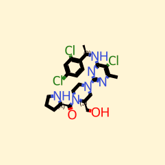 Cc1nc(N2CCN(C(=O)[C@H]3CCCN3)[C@H](CO)C2)nc(N[C@H](C)c2ccc(Cl)cc2Cl)c1Cl